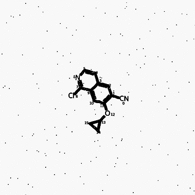 N#Cc1cc2ccnc(Cl)c2cc1OC1CC1